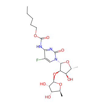 CCCCCOC(=O)Nc1nc(=O)n([C@@H]2O[C@H](C)[C@@H](O)[C@H]2O[C@H]2O[C@@H](C)[C@H](O)[C@@H]2O)cc1F